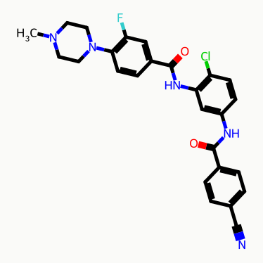 CN1CCN(c2ccc(C(=O)Nc3cc(NC(=O)c4ccc(C#N)cc4)ccc3Cl)cc2F)CC1